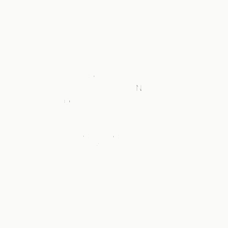 CCC(=O)OCCN(CCOC(=O)CC)c1ccccc1